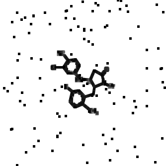 Cc1ccc(F)cc1CC1[C@@H](Nc2ccc(C#N)c(Cl)c2)CC(=O)N1C(C)C